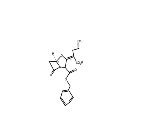 C=CC/C(C(=O)O)=C1\O[C@@H]2CC(=O)N2C1C(=O)OCc1ccccc1